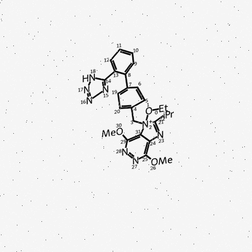 CCO[N+]1(Cc2ccc(-c3ccccc3-c3nnn[nH]3)cc2)C(C(C)C)=Nc2c(OC)nnc(OC)c21